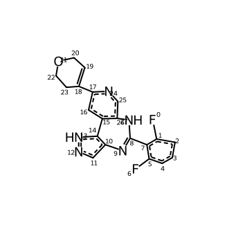 Fc1cccc(F)c1C1=Nc2cn[nH]c2-c2cc(C3=CCOCC3)ncc2N1